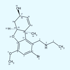 CCNCc1c(Br)cc(OC)c2c1[C@]1(C)C=C[C@H](O)C[C@@H]1O2